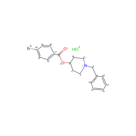 Cl.O=C(OC1CCN(Cc2ccccc2)CC1)c1ccc(Br)cc1